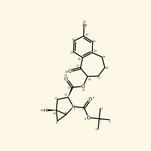 CC(C)(C)OC(=O)N1C2C[C@@H]2C[C@H]1C(=O)OC1CCCc2cc(Br)ccc2C1=O